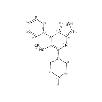 CN1CCC(C2=C(C#N)C(c3ccccc3C(F)(F)F)c3c[nH]nc3N2)CC1